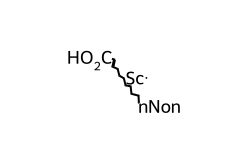 CCCCCCCCCCCCCCCCCC=CC(=O)O.[Sc]